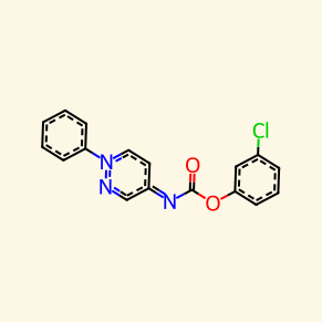 O=C(/N=c1\ccn(-c2ccccc2)nc1)Oc1cccc(Cl)c1